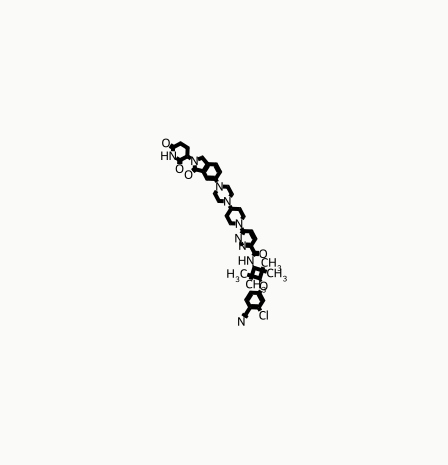 CC1(C)[C@H](NC(=O)c2ccc(N3CCC(N4CCN(c5ccc6c(c5)C(=O)N(C5CCC(=O)NC5=O)C6)CC4)CC3)nn2)C(C)(C)[C@H]1Oc1ccc(C#N)c(Cl)c1